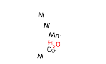 O.[Co].[Mn].[Ni].[Ni].[Ni]